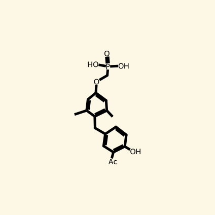 CC(=O)c1cc(Cc2c(C)cc(OCP(=O)(O)O)cc2C)ccc1O